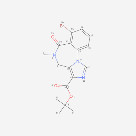 CN1Cc2c(C(=O)OC(C)(C)C)ncn2-c2cccc(Br)c2C1=O